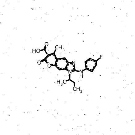 CCC(C)n1c(Nc2ccc(F)cc2)nc2cc3c(C)c(C(=O)O)c(=O)oc3cc21